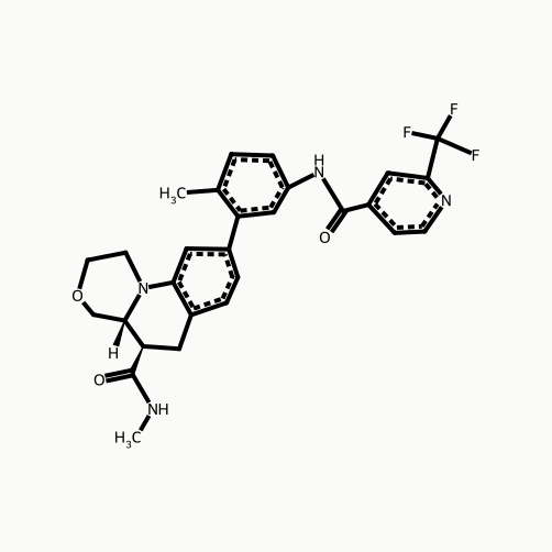 CNC(=O)[C@@H]1Cc2ccc(-c3cc(NC(=O)c4ccnc(C(F)(F)F)c4)ccc3C)cc2N2CCOC[C@@H]12